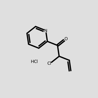 C=CC(Cl)C(=O)c1ccccn1.Cl